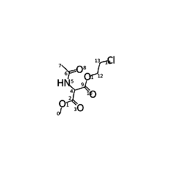 COC(=O)C(NC(C)=O)C(=O)OCCCl